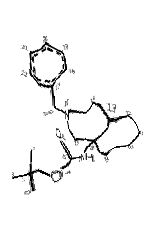 CC(C)(C)OC(=O)NC12CCCCC1CN(Cc1ccccc1)C2